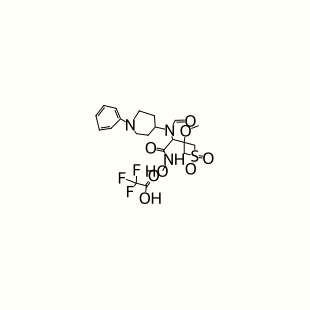 COC1(C(C(=O)NO)N(C=O)C2CCN(c3ccccc3)CC2)CS(=O)(=O)C1.O=C(O)C(F)(F)F